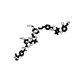 Cc1ncsc1-c1ccc([C@H](C)NC(=O)C2C[C@@H](O)CN2C(=O)[C@@H](NC(=O)CN2CCN(CCCc3ccc(C(=O)N[C@H]4C(C)(C)[C@H](Oc5ccc(C#N)c(Cl)c5)C4(C)C)cc3)[C@@H](CO)C2)C(C)(C)C)cc1